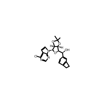 CC1(C)O[C@H]2[C@@H](O1)[C@H](n1ccc3c(Cl)ncnc31)O[C@@H]2[C@@H](O)c1ccc2c(c1)CC2